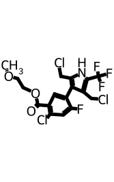 COCCOC(=O)c1cc(-c2c(CCl)[nH]c(C(F)(F)F)c2CCl)c(F)cc1Cl